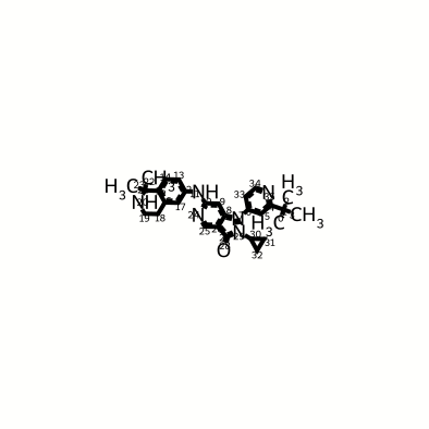 CC(C)(C)c1cc(-n2c3cc(Nc4ccc5c(c4)CCNC5(C)C)ncc3c(=O)n2C2CC2)ccn1